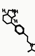 C[C@@H]1CCCN1CCc1ccc(C2CCC[C@H]3CNC[C@@H]23)cc1